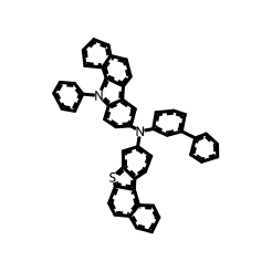 c1ccc(-c2cccc(N(c3ccc4c(c3)sc3ccc5ccccc5c34)c3ccc4c(c3)c3ccc5ccccc5c3n4-c3ccccc3)c2)cc1